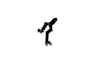 CCCC=O.CN